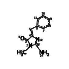 CN1C(=O)/C(=C/c2ccccc2)N=C1N